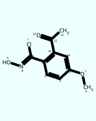 COc1ccc(C(Cl)=NO)c(C(C)=O)c1